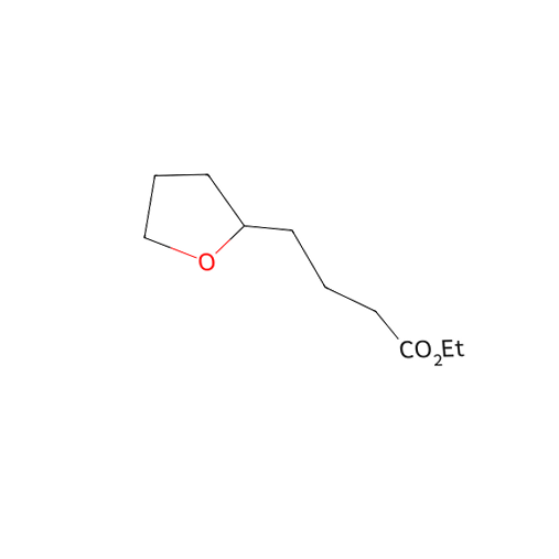 CCOC(=O)CCCC1CCCO1